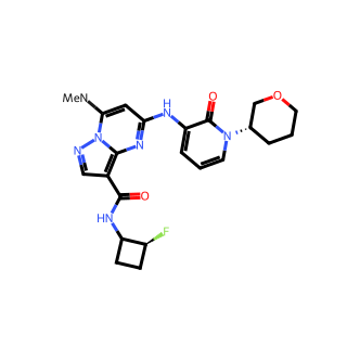 CNc1cc(Nc2cccn([C@H]3CCCOC3)c2=O)nc2c(C(=O)NC3CC[C@@H]3F)cnn12